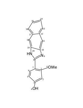 COc1cc(O)ccc1-c1nc2cc3ccccc3cc2[nH]1